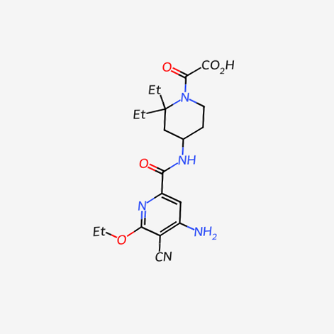 CCOc1nc(C(=O)NC2CCN(C(=O)C(=O)O)C(CC)(CC)C2)cc(N)c1C#N